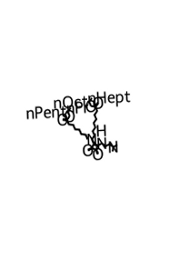 CCCCCCCCC(CCCCCCC)OC(=O)CCCCCCCN(CCCCCCCC(=O)OC(CCC)CCCCC)c1c(NCCN(C)C)c(=O)c1=O